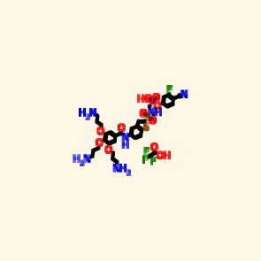 N#Cc1ccc(OP(=O)(O)CNS(=O)(=O)c2cc3cc(NC(=O)c4cc(OCCCN)c(OCCCN)c(OCCCN)c4)ccc3s2)cc1F.O=C(O)C(F)(F)F